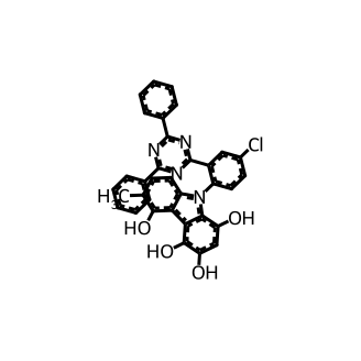 Cc1ccc2c(c1O)c1c(O)c(O)cc(O)c1n2-c1ccc(Cl)cc1-c1nc(-c2ccccc2)nc(-c2ccccc2)n1